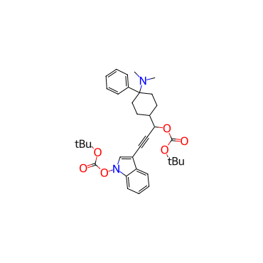 CN(C)C1(c2ccccc2)CCC(C(C#Cc2cn(OC(=O)OC(C)(C)C)c3ccccc23)OC(=O)OC(C)(C)C)CC1